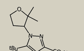 CC(C)(C)c1cc(C(=O)O)nn1C1CCOC1(C)C